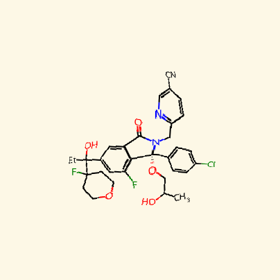 CCC(O)(c1cc(F)c2c(c1)C(=O)N(Cc1ccc(C#N)cn1)[C@@]2(OCC(C)O)c1ccc(Cl)cc1)C1(F)CCOCC1